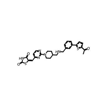 CC(=O)c1ccc(-c2cccc(CNCC3CCN(c4nccc(/C=C5/SC(=O)NC5=O)n4)CC3)c2)s1